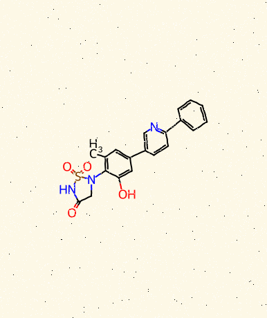 Cc1cc(-c2ccc(-c3ccccc3)nc2)cc(O)c1N1CC(=O)NS1(=O)=O